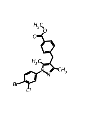 COC(=O)c1ccc(Cc2c(C)nn(-c3ccc(Br)c(Cl)c3)c2C)cc1